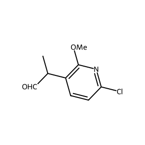 COc1nc(Cl)ccc1C(C)C=O